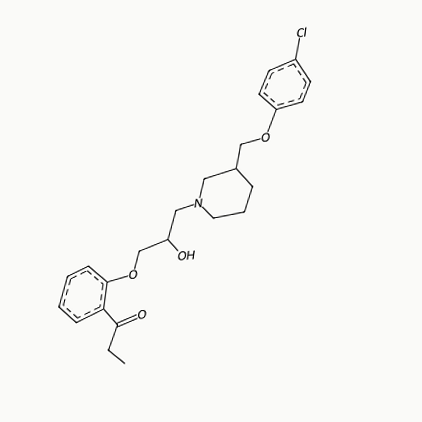 CCC(=O)c1ccccc1OCC(O)CN1CCCC(COc2ccc(Cl)cc2)C1